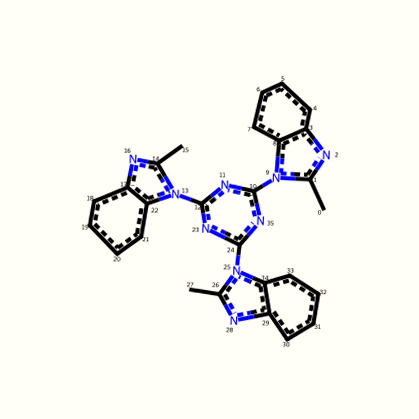 Cc1nc2ccccc2n1-c1nc(-n2c(C)nc3ccccc32)nc(-n2c(C)nc3ccccc32)n1